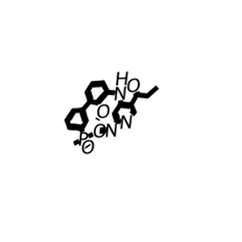 CCC(=O)c1cnc(N=O)cc1Nc1cccc(-c2cccc(P(C)(C)=O)c2)c1OC